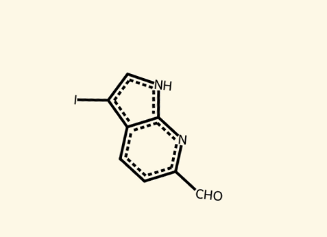 O=Cc1ccc2c(I)c[nH]c2n1